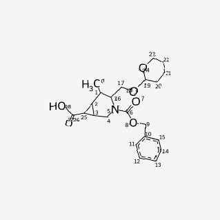 CC1C2C(CN(C(=O)OCc3ccccc3)C1COC1CCCCO1)C2C(=O)O